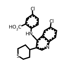 O=C(O)c1cc(Cl)ccc1Nc1c(C2CCSCC2)cnc2ccc(Cl)cc12